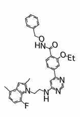 CCOc1cc(-c2cc(NCCn3c(C)cc4c(C)ccc(F)c43)ncn2)ccc1C(=O)NOCc1ccccc1